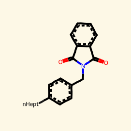 CCCCCCCc1ccc(CN2C(=O)c3ccccc3C2=O)cc1